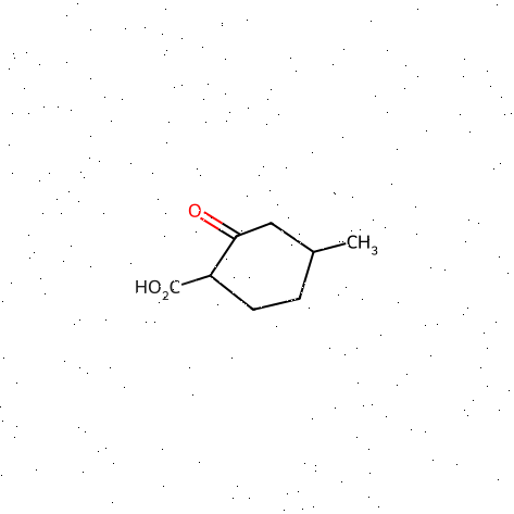 CC1CCC(C(=O)O)C(=O)C1